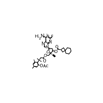 C#C[C@]1(COC(=O)CC(C)(C)c2c(C)cc(C)cc2OC(C)=O)O[C@@H](n2cnc3c(N)nc(F)nc32)C[C@@H]1OC(=O)C1CC2(CCCCC2)C1